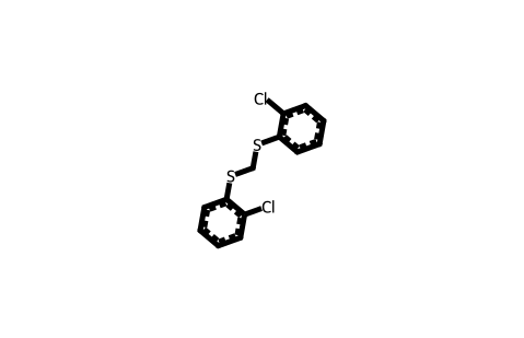 Clc1ccccc1SCSc1ccccc1Cl